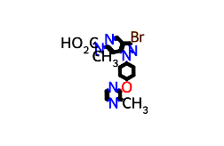 Cc1nccnc1O[C@H]1CC[C@@H](n2nc(Br)c3cnc(N(C)C(=O)O)cc32)CC1